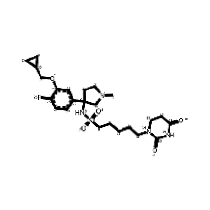 CN1CCC(NS(=O)(=O)CCCCCN2CCC(=O)NC2=O)(c2ccc(F)c(OCC3CC3)c2)C1